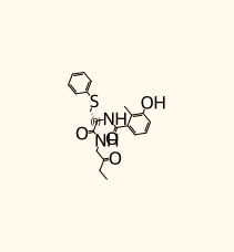 CCC(=O)CNC(=O)[C@H](CSc1ccccc1)NC(=O)c1cccc(O)c1C